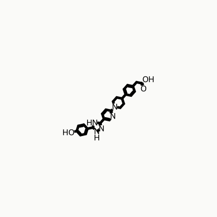 O=C(O)Cc1ccc(C2CCN(c3ccc(C4=NNC(c5ccc(O)cc5)N4)cn3)CC2)cc1